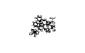 CC(C)C(=O)Nc1nc2c(ncn2[C@H]2CN(C(c3ccccc3)(c3ccccc3)c3ccccc3)C[C@@H](CO[P@@](=O)(Cl)N(C)C)O2)c(=O)[nH]1